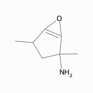 CC1CC(C)(N)C2=C1O2